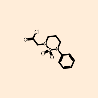 O=C(Cl)CN1CCCN(c2ccccc2)S1(=O)=O